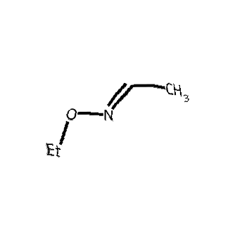 [CH2]CON=CC